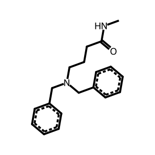 CNC(=O)CCCN(Cc1ccccc1)Cc1ccccc1